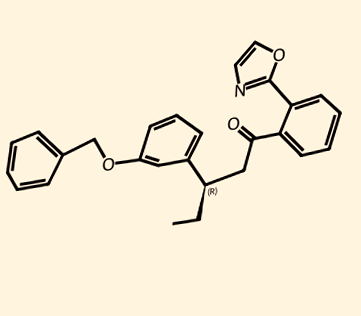 CC[C@H](CC(=O)c1ccccc1-c1ncco1)c1cccc(OCc2ccccc2)c1